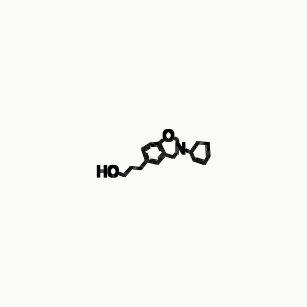 OCCCc1ccc2c(c1)CN([C@@H]1C=CC=CC1)CO2